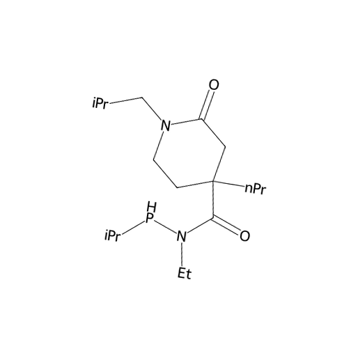 CCCC1(C(=O)N(CC)PC(C)C)CCN(CC(C)C)C(=O)C1